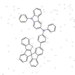 c1ccc(N(c2ccc(-c3ccc4c(c3)C3(c5ccccc5-4)c4ccccc4-c4c3sc3ccccc43)cc2)c2ccc3c(c2)c2ccccc2n3-c2ccccc2)cc1